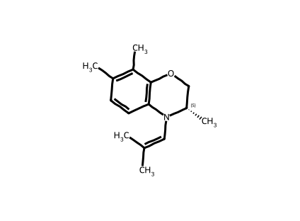 CC(C)=CN1c2ccc(C)c(C)c2OC[C@@H]1C